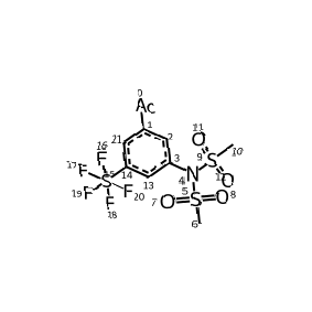 CC(=O)c1cc(N(S(C)(=O)=O)S(C)(=O)=O)cc(S(F)(F)(F)(F)F)c1